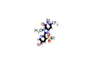 CCn1c(C(F)(F)F)cc2nc(-c3ncc(Br)cc3S(=O)(=O)CC)n(C)c2c1=O